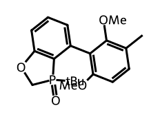 COc1ccc(C)c(OC)c1-c1cccc2c1P(=O)(C(C)(C)C)CO2